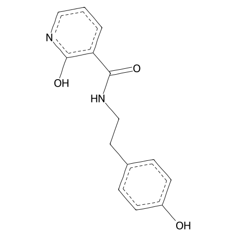 O=C(NCCc1ccc(O)cc1)c1cccnc1O